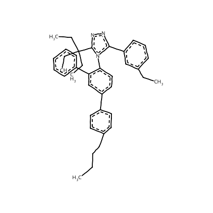 CCCCc1ccc(-c2ccc(-n3c(-c4cccc(CC)c4)nnc3C(CC)(CC)CC)c(-c3ccccc3)c2)cc1